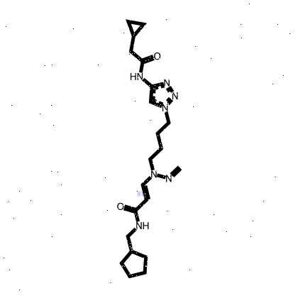 C=NN(/C=C/C(=O)NCC1CCCC1)CCCCn1cc(NC(=O)CC2CC2)nn1